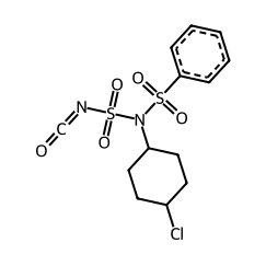 O=C=NS(=O)(=O)N(C1CCC(Cl)CC1)S(=O)(=O)c1ccccc1